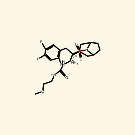 COCCNC(=O)NCCS(=O)(=O)N1C2CCC1CC([C@H](N)Cc1cc(F)c(F)cc1F)C2